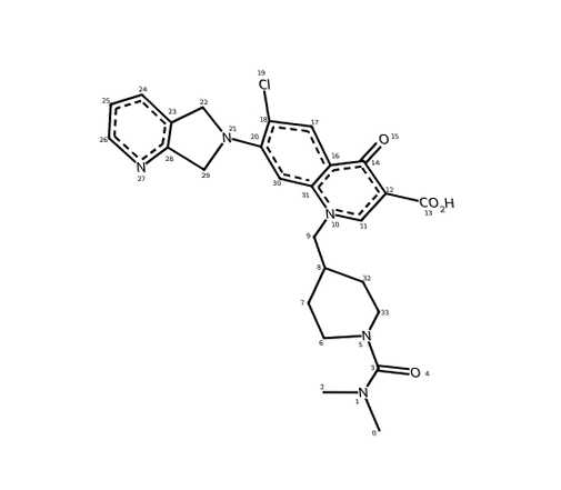 CN(C)C(=O)N1CCC(Cn2cc(C(=O)O)c(=O)c3cc(Cl)c(N4Cc5cccnc5C4)cc32)CC1